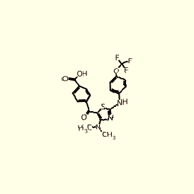 CN(C)c1nc(Nc2ccc(OC(F)(F)F)cc2)sc1C(=O)c1ccc(C(=O)O)cc1